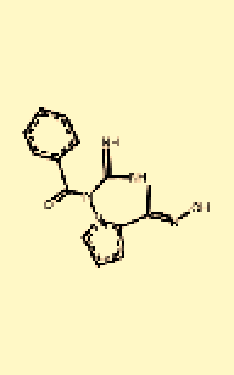 C/C(=N\O)c1cccn1N(C(=N)N)C(=O)c1ccccc1